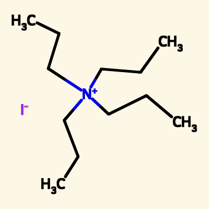 CCC[N+](CCC)(CCC)CCC.[I-]